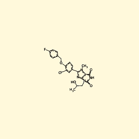 CC(O)Cn1c(=O)[nH]c(=O)c2c1nc(-c1ccc(OCc3ccc(F)cc3)c(Cl)c1)n2C